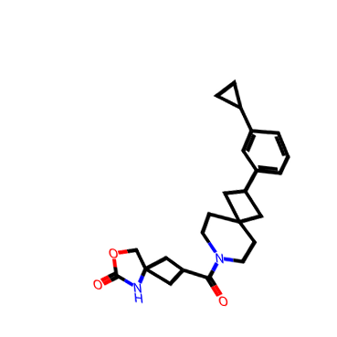 O=C1NC2(CO1)CC(C(=O)N1CCC3(CC1)CC(c1cccc(C4CC4)c1)C3)C2